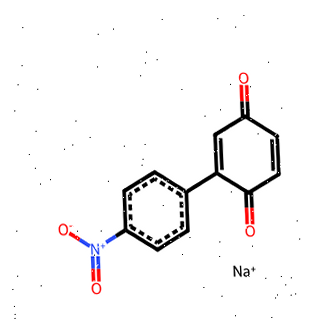 O=C1C=CC(=O)C(c2ccc([N+](=O)[O-])cc2)=C1.[Na+]